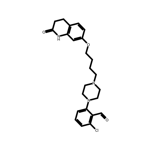 O=Cc1c(Cl)cccc1N1CCN(CCCCOc2ccc3c(c2)NC(=O)CC3)CC1